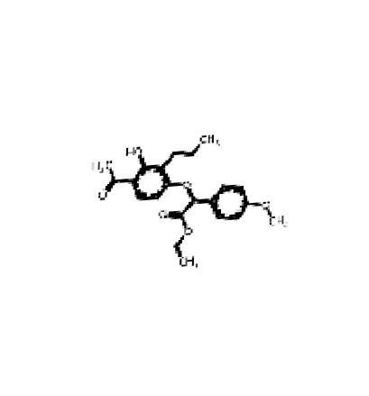 CCCc1c(OC(C(=O)OCC)c2ccc(OC)cc2)ccc(C(C)=O)c1O